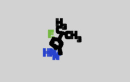 CC(C)c1cc2cn[nH]c2cc1F